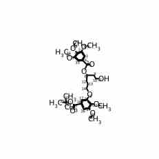 COc1cc(C(=O)OC(CCO)CCCOc2cc(C(=O)OC(C)(C)C)cc(OC)c2OC)cc(OC)c1OC